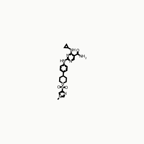 Cn1cnc(S(=O)(=O)N2CCC(c3ccc(Nc4ncc(C(N)=O)c(NC5CC5)n4)cc3)CC2)c1